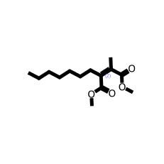 CCCCCCC/C(C(=O)OC)=C(\C)C(=O)OC